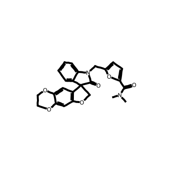 CN(C)C(=O)c1ccc(CN2C(=O)C3(COc4cc5c(cc43)OCCO5)c3ccccc32)o1